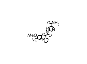 COc1ccc([C@@H]2CCCCN2C(=O)C(=O)Nc2cncc(C(N)=O)c2)cc1C#N